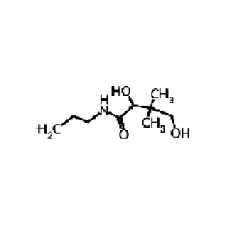 [CH2]CCNC(=O)C(O)C(C)(C)CO